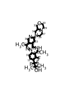 Cc1nnc(N[C@H](C)c2cccc(C(F)(F)C(C)(C)O)c2F)c2cc(N3CCN4CCOCC4C3)ncc12